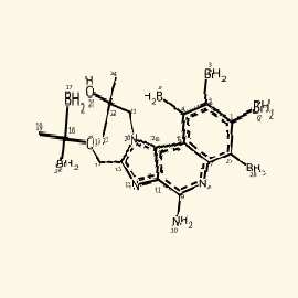 Bc1c(B)c(B)c2c(nc(N)c3nc(COC(B)(B)C)n(CC(C)(C)O)c32)c1B